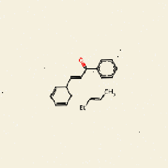 CC=CCC.O=C(C=CC1C=CC=CC1)c1ccccc1